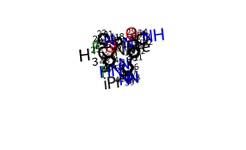 CNC(=O)c1cc(Nc2nc(-c3ccc4c(c3)N(C3CC(N5CCC[C@@H](F)C5)C3)C(=O)C43CCNCC3)cc3ncn(C(C)C)c23)c(F)cc1C